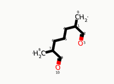 [CH2]C(C=O)CCCC([CH2])C=O